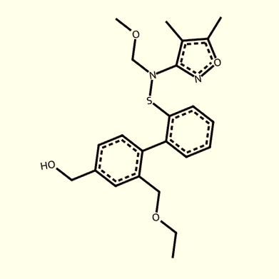 CCOCc1cc(CO)ccc1-c1ccccc1SN(COC)c1noc(C)c1C